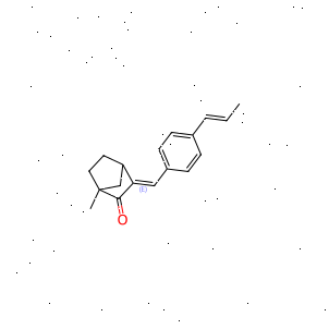 CC=Cc1ccc(/C=C2/C(=O)C3(C)CCC2C3)cc1